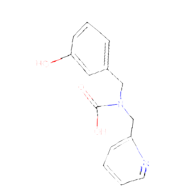 O=C(O)N(Cc1cccc(O)c1)Cc1ccccn1